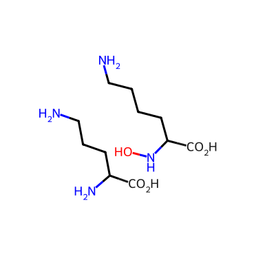 NCCCC(N)C(=O)O.NCCCCC(NO)C(=O)O